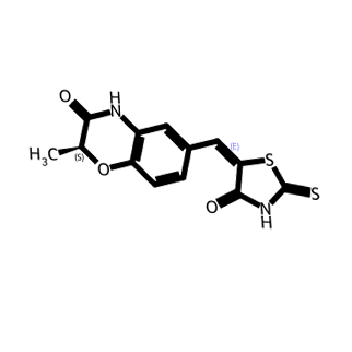 C[C@@H]1Oc2ccc(/C=C3/SC(=S)NC3=O)cc2NC1=O